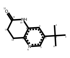 CC(C)(C)c1cnc2c(c1)NC(=O)CC2